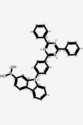 OB(O)c1ccc2c3ccccc3n(-c3ccc(-c4nc(-c5ccccc5)nc(-c5ccccc5)n4)cc3)c2c1